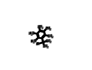 Bc1c(B)c(B)c(C(B)(B)C(C)C)c(B)c1B